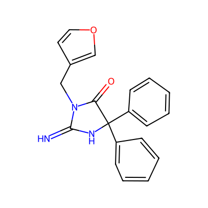 N=C1NC(c2ccccc2)(c2ccccc2)C(=O)N1Cc1ccoc1